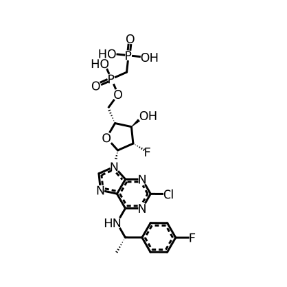 C[C@H](Nc1nc(Cl)nc2c1ncn2[C@@H]1O[C@H](COP(=O)(O)CP(=O)(O)O)[C@@H](O)[C@@H]1F)c1ccc(F)cc1